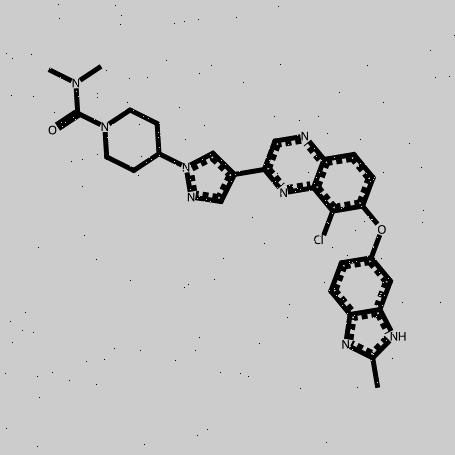 Cc1nc2ccc(Oc3ccc4ncc(-c5cnn(C6CCN(C(=O)N(C)C)CC6)c5)nc4c3Cl)cc2[nH]1